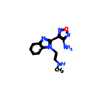 CNCCn1c(-c2nonc2N)nc2ccccc21